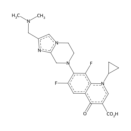 CN(C)Cc1cn2c(n1)CN(c1c(F)cc3c(=O)c(C(=O)O)cn(C4CC4)c3c1F)CC2